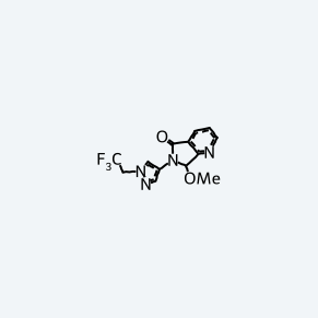 COC1c2ncccc2C(=O)N1c1cnn(CC(F)(F)F)c1